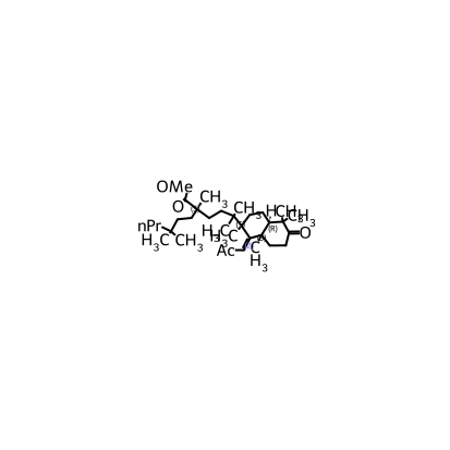 CCCC(C)(C)CC[C@@](C)(CCC(C)(C)[C@]1(C)CC[C@H]2C(C)(C)C(=O)CC[C@]2(C)/C1=C/C(C)=O)C(=O)OC